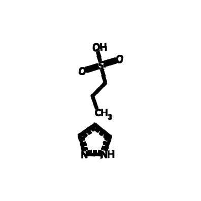 CCCS(=O)(=O)O.c1cn[nH]c1